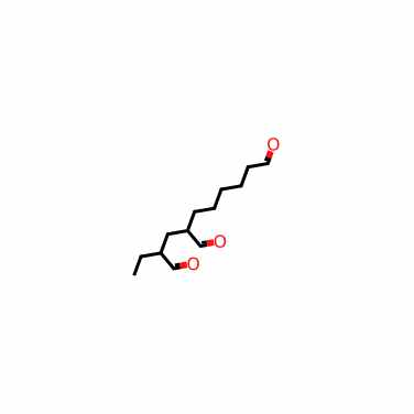 CCC(C=O)CC(C=O)CCCCCC=O